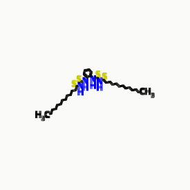 CCCCCCCCCCCCC(=S)NC(=S)Nc1ccccc1NC(=S)NC(=S)CCCCCCCCCCCC